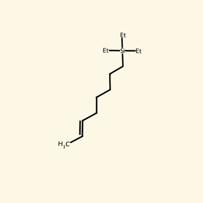 CC=CCCCCC[Si](CC)(CC)CC